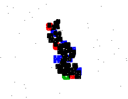 C=CC(=O)N1CCC(Oc2cc3c(Nc4ccc(Cl)c(-c5cnco5)c4)ncnc3cn2)CC1